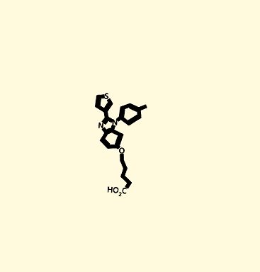 Cc1ccc(-n2c(-c3ccsc3)nc3ccc(OCCCCC(=O)O)cc32)cc1